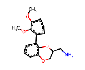 COc1cccc(-c2cccc3c2O[C@@H](CN)CO3)c1OC